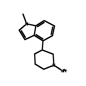 CCCN1CCCC(c2cccc3c2ccn3C)C1